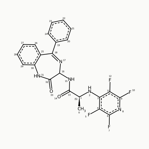 C[C@H](Nc1c(F)c(F)nc(F)c1F)C(=O)NC1N=C(c2ccccc2)c2ccccc2NC1=O